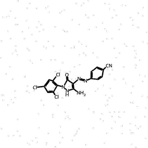 N#Cc1ccc(N=Nc2c(N)[nH]n(-c3c(Cl)cc(Cl)cc3Cl)c2=O)cc1